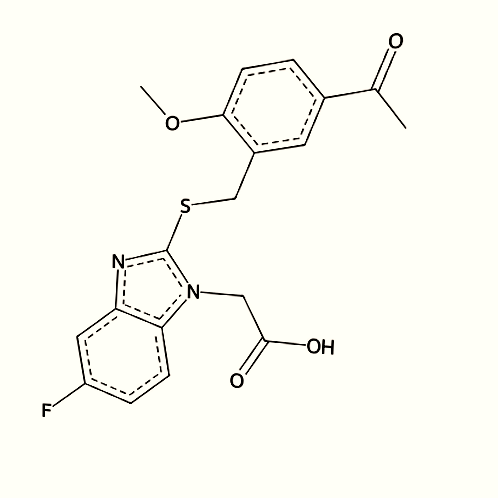 COc1ccc(C(C)=O)cc1CSc1nc2cc(F)ccc2n1CC(=O)O